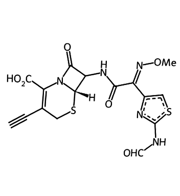 C#CC1=C(C(=O)O)N2C(=O)C(NC(=O)C(=NOC)c3csc(NC=O)n3)[C@@H]2SC1